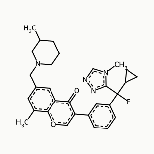 Cc1cc(CN2CCCC(C)C2)cc2c(=O)c(-c3cccc(C(F)(c4nncn4C)C4CC4)c3)coc12